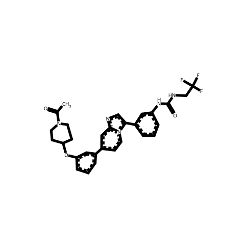 CC(=O)N1CCC(Oc2cccc(-c3ccn4c(-c5cccc(NC(=O)NCC(F)(F)F)c5)cnc4c3)c2)CC1